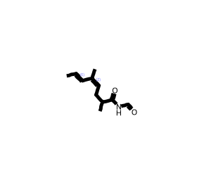 C/C=C/C(C)=C\CC(C)C(=O)NC=O